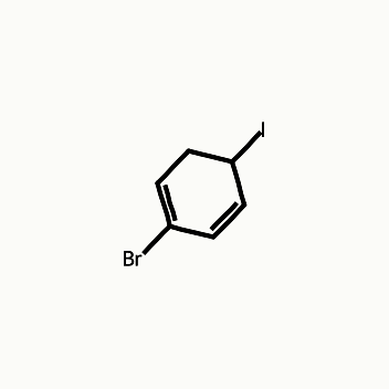 BrC1=CCC(I)C=C1